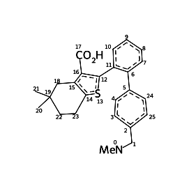 CNCc1ccc(-c2ccccc2-c2sc3c(c2C(=O)O)CC(C)(C)CC3)cc1